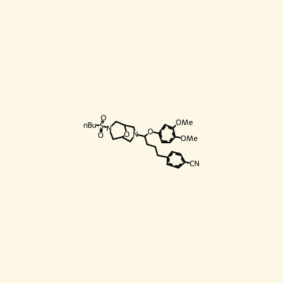 CCCCS(=O)(=O)N1CC2CN(C(CCCc3ccc(C#N)cc3)Oc3ccc(OC)c(OC)c3)CC(C1)O2